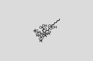 CCCCCCCC1(O)OC[C@H]([C@@H](OC)[C@@H]2OC(C(=O)O)=C[C@H](NC(=NC(=O)OC(C)(C)C)NC(=O)OC(C)(C)C)[C@H]2NC(C)=O)O1